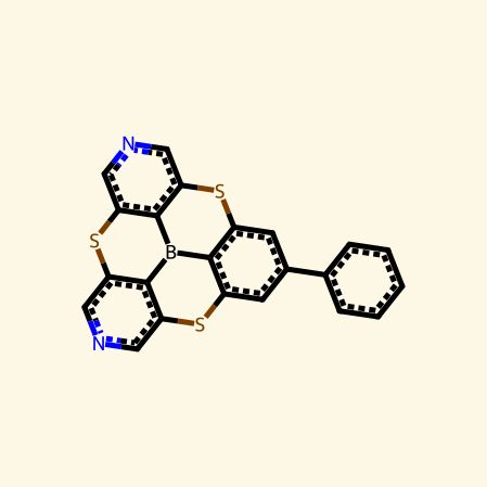 c1ccc(-c2cc3c4c(c2)Sc2cncc5c2B4c2c(cncc2S3)S5)cc1